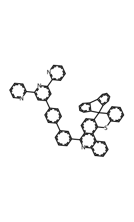 c1ccc(-c2cc(-c3ccc(-c4cccc(-c5nc6ccccc6c6c7c(ccc56)C5(c6ccccc6S7)c6ccccc6-c6ccccc65)c4)cc3)cc(-c3ccccn3)n2)nc1